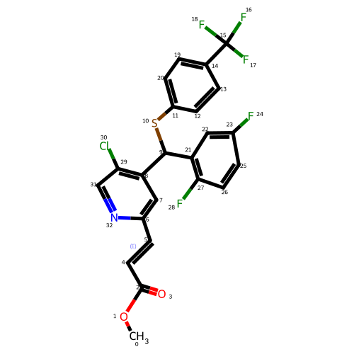 COC(=O)/C=C/c1cc(C(Sc2ccc(C(F)(F)F)cc2)c2cc(F)ccc2F)c(Cl)cn1